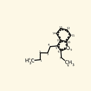 CCCCCc1c(CC)oc2ccccc12